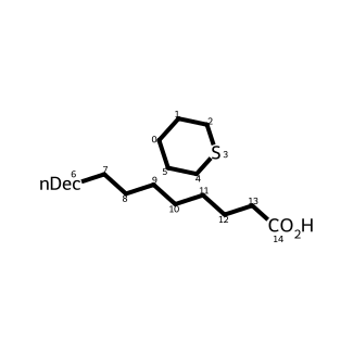 C1CCSCC1.CCCCCCCCCCCCCCCCCC(=O)O